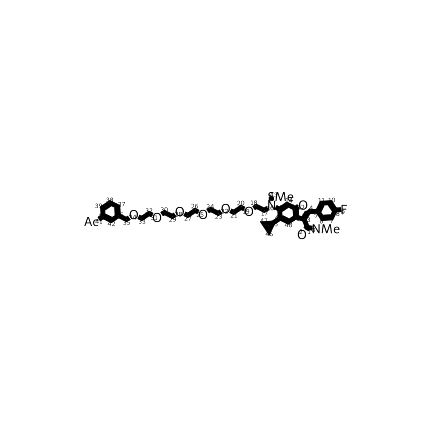 CNC(=O)c1c(-c2ccc(F)cc2)oc2cc(N(CCOCCOCCOCCOCCOCCOCc3cccc(C(C)=O)c3)SC)c(C3CC3)cc12